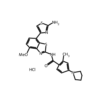 COc1ccc(-c2csc(N)n2)c2sc(NC(=O)c3ccc(N4CCCC4)cc3C)nc12.Cl